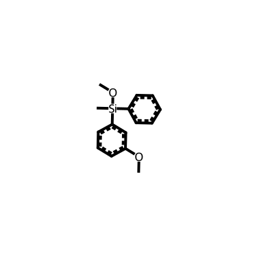 COc1cccc([Si](C)(OC)c2ccccc2)c1